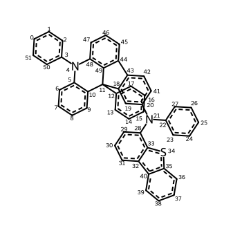 c1ccc(N2c3ccccc3C3(c4ccccc4)c4cc(N(c5ccccc5)c5cccc6c5sc5ccccc56)ccc4-c4cccc2c43)cc1